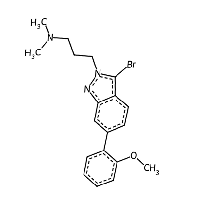 COc1ccccc1-c1ccc2c(Br)n(CCCN(C)C)nc2c1